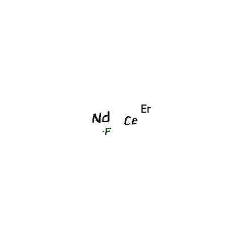 [Ce].[Er].[F].[Nd]